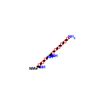 CN/C=C(\C=N)OCCOCCOCCN/C=C(/COCCOCCOCCOCCOCCOCN)N=N